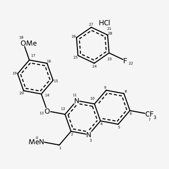 CNCc1nc2cc(C(F)(F)F)ccc2nc1Oc1ccc(OC)cc1.Cl.Fc1ccccc1